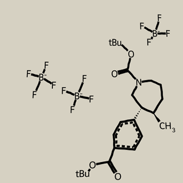 C[C@@H]1CCCN(C(=O)OC(C)(C)C)C[C@H]1c1ccc(C(=O)OC(C)(C)C)cc1.F[B-](F)(F)F.F[B-](F)(F)F.F[B-](F)(F)F